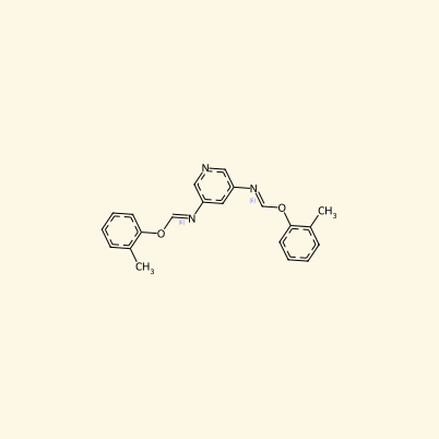 Cc1ccccc1O/C=N/c1cncc(/N=C/Oc2ccccc2C)c1